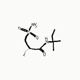 C[C@H](CS(N)(=O)=O)C(=O)NC(C)(C)C